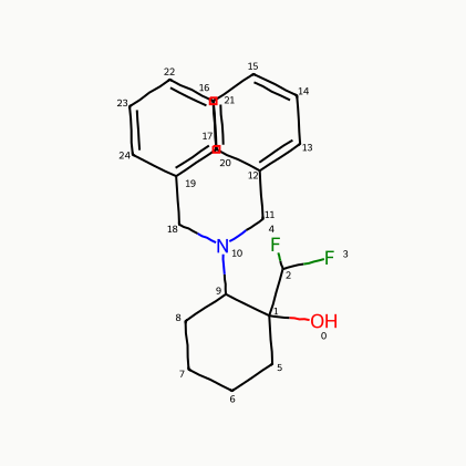 OC1(C(F)F)CCCCC1N(Cc1ccccc1)Cc1ccccc1